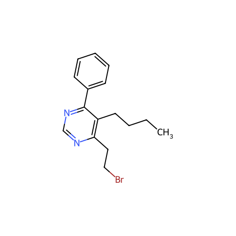 CCCCc1c(CCBr)ncnc1-c1ccccc1